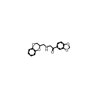 O=C(CNCC1COc2ccccc2O1)c1ccc2c(c1)OCO2